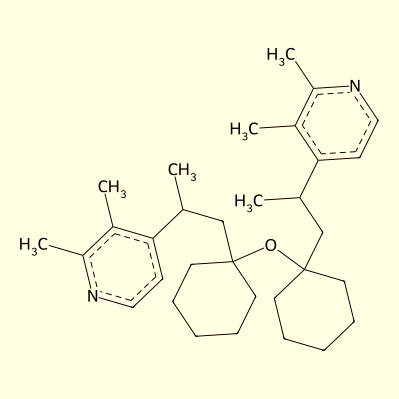 Cc1nccc(C(C)CC2(OC3(CC(C)c4ccnc(C)c4C)CCCCC3)CCCCC2)c1C